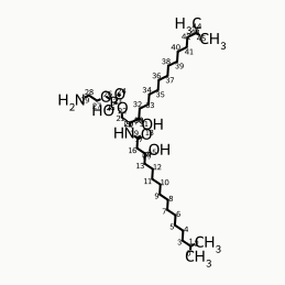 CC(C)CCCCCCCCCCC[C@@H](O)CC(=O)N[C@@H](COP(=O)(O)OCCN)[C@H](O)CCCCCCCCCCCC(C)C